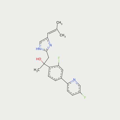 CC(C)=Cc1c[nH]c(CC(C)(O)c2ccc(-c3ccc(F)cn3)cc2F)n1